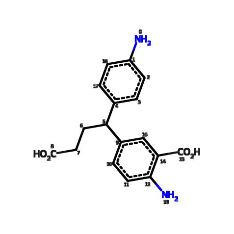 Nc1ccc(C(CCC(=O)O)c2ccc(N)c(C(=O)O)c2)cc1